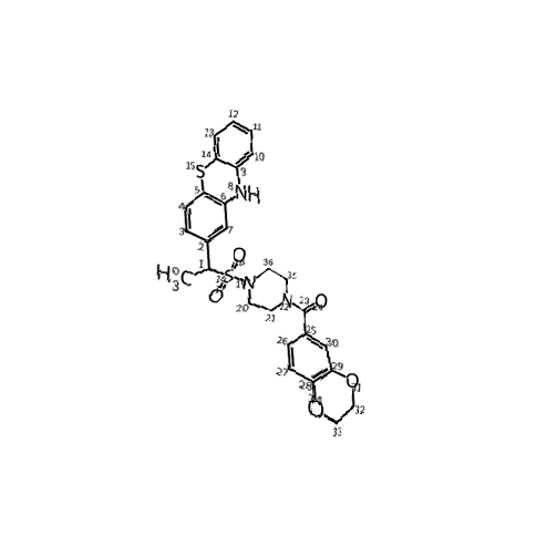 CC(c1ccc2c(c1)Nc1ccccc1S2)S(=O)(=O)N1CCN(C(=O)c2ccc3c(c2)OCCO3)CC1